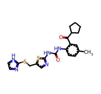 Cc1ccc(NC(=O)Nc2ncc(CSc3ncc[nH]3)s2)c(C(=O)C2CCCC2)c1